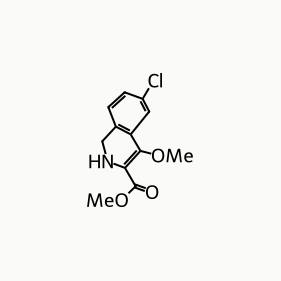 COC(=O)C1=C(OC)c2cc(Cl)ccc2CN1